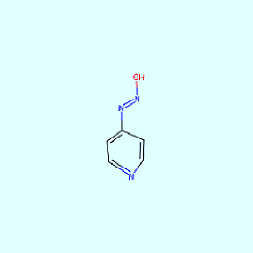 ON=Nc1ccncc1